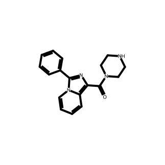 O=C(c1nc(-c2ccccc2)n2ccccc12)N1CCNCC1